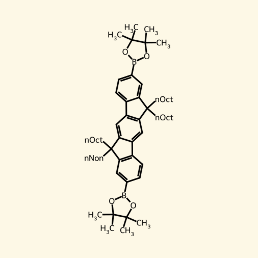 CCCCCCCCCC1(CCCCCCCC)c2cc(B3OC(C)(C)C(C)(C)O3)ccc2-c2cc3c(cc21)-c1ccc(B2OC(C)(C)C(C)(C)O2)cc1C3(CCCCCCCC)CCCCCCCC